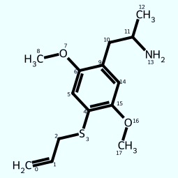 C=CCSc1cc(OC)c(CC(C)N)cc1OC